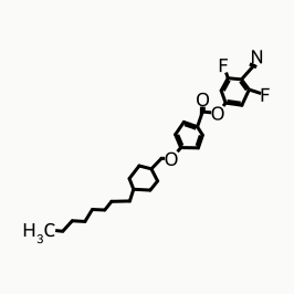 CCCCCCCCC1CCC(COc2ccc(C(=O)Oc3cc(F)c(C#N)c(F)c3)cc2)CC1